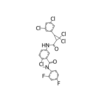 CN(C(=O)c1cc(NC(=O)C2C(c3cc(Cl)cc(Cl)c3)C2(Cl)Cl)ccc1Cl)c1ccc(F)cc1F